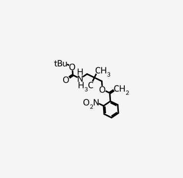 C=C(OCC(C)(C)CNC(=O)OC(C)(C)C)c1ccccc1[N+](=O)[O-]